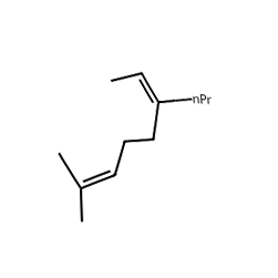 [CH2]CCC(=CC)CCC=C(C)C